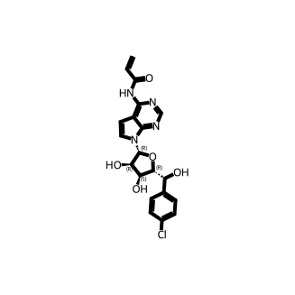 C=CC(=O)Nc1ncnc2c1ccn2[C@@H]1O[C@H](C(O)c2ccc(Cl)cc2)[C@@H](O)[C@H]1O